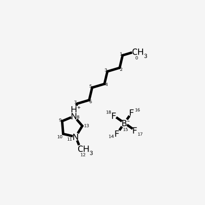 CCCCCCCC[NH+]1CCN(C)C1.F[B-](F)(F)F